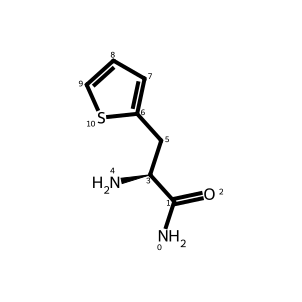 NC(=O)[C@@H](N)Cc1cccs1